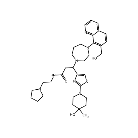 CC1(O)CCN(c2nc(C(CC(=O)NCCN3CCCC3)N3CCCN(c4c(CO)ccc5cccnc45)CC3)cs2)CC1